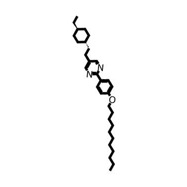 CCCCCCCCCCCOc1ccc(-c2ncc(CC[C@H]3CC[C@H](CC)CC3)cn2)cc1